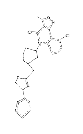 Cc1onc2c1c(=O)n(C1CCCC(CC3=NC(c4ccccc4)CO3)C1)c1cccc(Cl)c21